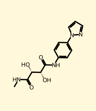 CNC(=O)[C@H](O)[C@@H](O)C(=O)Nc1ccc(-n2cccn2)cc1